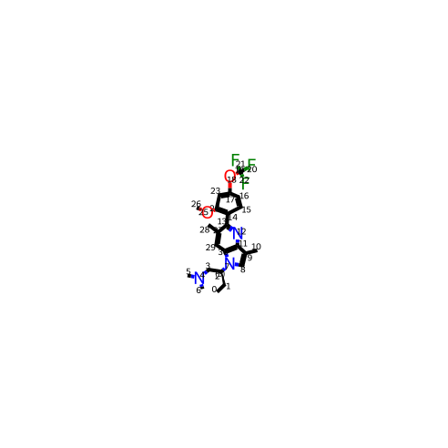 CC[C@@H](CN(C)C)n1cc(C)c2nc(-c3ccc(OC(F)(F)F)cc3OC)c(C)cc21